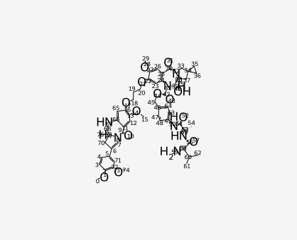 COc1ccc(C2=CN3C(=O)c4cc(OC)c(OCCCOc5cc6c(cc5OC)C(=O)N5CC7(CC7)C[C@H]5C(O)N6C(=O)OCc5ccc(NC(=O)[C@H](C)NC(=O)[C@@H](N)C(C)C)cc5)cc4NC[C@@H]3C2)cc1OC